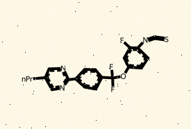 CCCc1cnc(-c2ccc(C(F)(F)Oc3ccc(N=C=S)c(F)c3)cc2)nc1